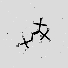 CC(C)(C)C(=CCC(F)(F)F)C(C)(C)C